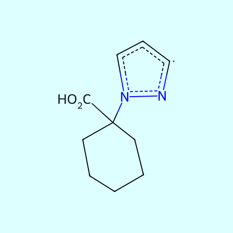 O=C(O)C1(n2cc[c]n2)CCCCC1